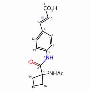 CC(=O)NC1(C(=O)Nc2ccc(/C=C/C(=O)O)cc2)CCC1